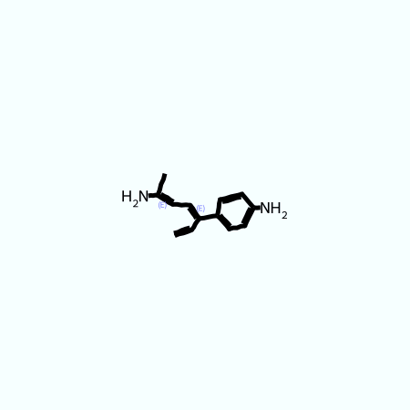 C=C/C(=C\C=C(/C)N)c1ccc(N)cc1